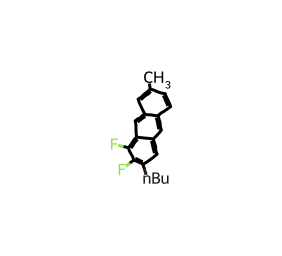 CCCCc1cc2cc3ccc(C)cc3cc2c(F)c1F